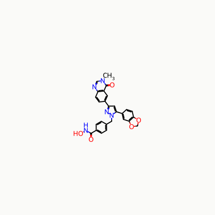 Cn1cnc2ccc(-c3cc(-c4ccc5c(c4)OCO5)n(Cc4ccc(C(=O)NO)cc4)n3)cc2c1=O